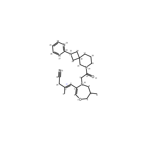 C/C(=C\C1=COCC(C)CN1CC(=O)N1CCCC2(C1)CN(c1ncccn1)C2)CC#N